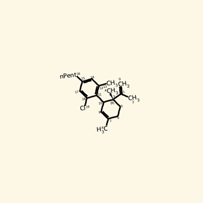 C=C(C)[C@]1(C)CCC(C)=CC1c1c(C)cc(CCCCC)cc1Cl